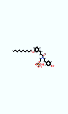 CCCCCCCCCCOc1cccc(CCC(=O)N(CCOP(=O)(O)O)CCc2ccc(O)cc2)c1